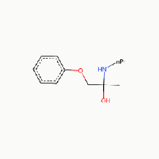 CCCNC(C)(O)COc1ccccc1